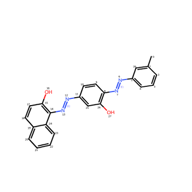 Cc1cccc(/N=N/c2ccc(/N=N/c3c(O)ccc4ccccc34)cc2O)c1